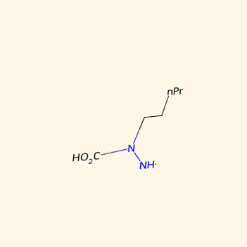 CCCCCN([NH])C(=O)O